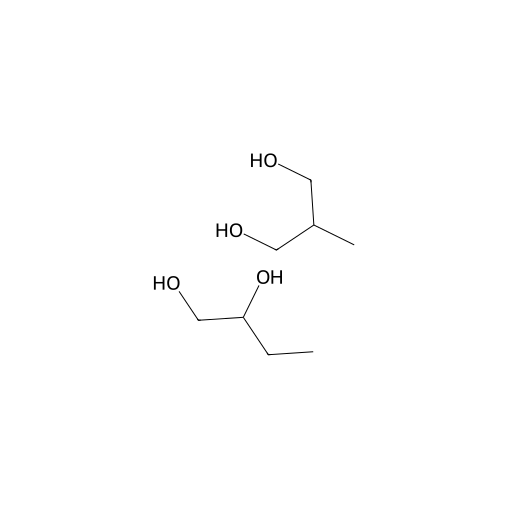 CC(CO)CO.CCC(O)CO